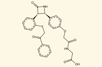 O=C(O)CNC(=O)COc1ccc([C@@H]2NC(=O)[C@@H]2c2ccccc2SCC(=O)c2ccccc2)cc1